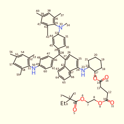 CCC(C)(C)C(=O)OCCOC(=O)CCC(=O)OC1CCCCC1Nc1ccc(C(=C2C=CC(N(C)c3c(C)cc(C)cc3C)C=C2)c2ccc(Nc3c(C)cc(C)cc3C)cc2)c2ccccc12